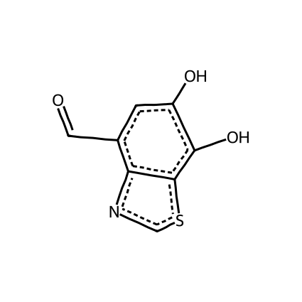 O=Cc1cc(O)c(O)c2scnc12